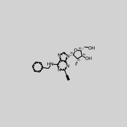 C#Cc1nc(NCc2ccccc2)c2ncn([C@@H]3O[C@H](CO)[C@@H](O)[C@@H]3F)c2n1